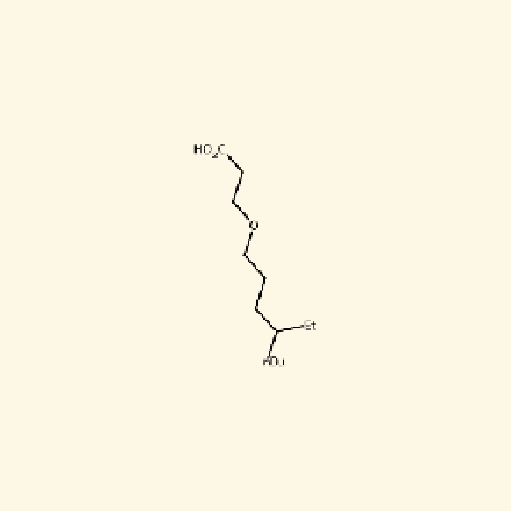 CCCCC(CC)CCCOCCC(=O)O